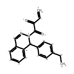 C=CC(=O)C(=O)N1N=Cc2ccccc2C1c1ccc(CC)cc1